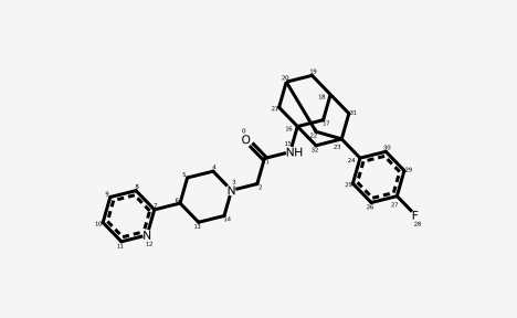 O=C(CN1CCC(c2ccccn2)CC1)NC12CC3CC(C1)CC(c1ccc(F)cc1)(C3)C2